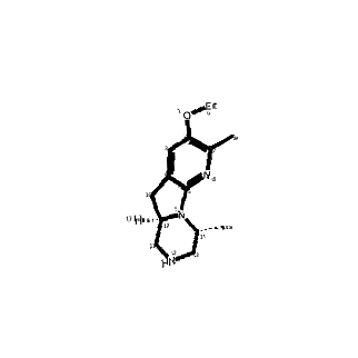 CCOc1cc2c(nc1C)N1[C@@H](CNC[C@H]1C)C2